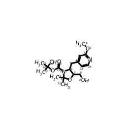 COc1cc(CC2C(CO)OC(C)(C)N2C(=O)OC(C)(C)C)ccn1